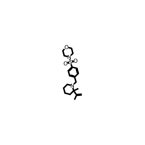 C=C(C)C1(C)CCCCN1Cc1ccc(S(=O)(=O)N2CCOCC2)cc1